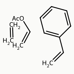 C=C.C=COC(C)=O.C=Cc1ccccc1